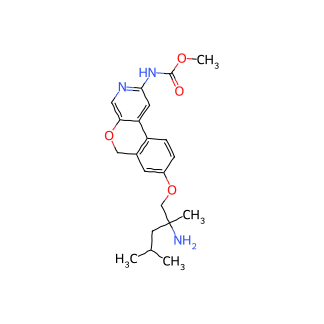 COC(=O)Nc1cc2c(cn1)OCc1cc(OCC(C)(N)CC(C)C)ccc1-2